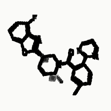 Cc1ccc(-c2ncccn2)c(C(=O)N2C[C@H](c3nc4c(F)cccc4o3)CC[C@H]2C)c1